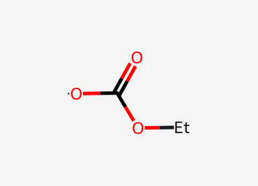 [CH2]COC([O])=O